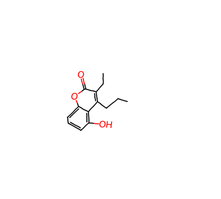 CCCc1c(CC)c(=O)oc2cccc(O)c12